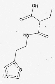 CCC(C(=O)O)C(=O)NCCc1c[nH]cn1